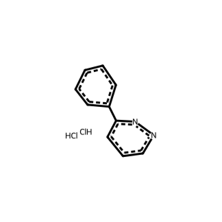 Cl.Cl.c1ccc(-c2cccnn2)cc1